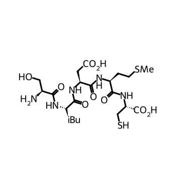 CC[C@H](C)[C@H](NC(=O)[C@@H](N)CO)C(=O)N[C@@H](CC(=O)O)C(=O)N[C@@H](CCSC)C(=O)N[C@@H](CS)C(=O)O